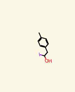 Cc1ccc(CC(O)I)cc1